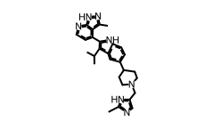 Cc1ncc(CN2CCC(c3ccc4[nH]c(-c5ccnc6[nH]nc(C)c56)c(C(C)C)c4c3)CC2)[nH]1